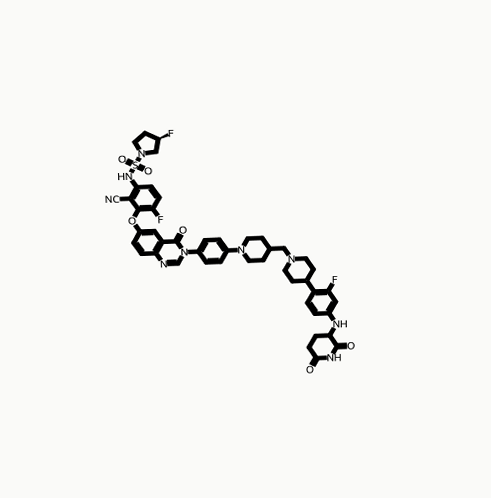 N#Cc1c(NS(=O)(=O)N2CC[C@@H](F)C2)ccc(F)c1Oc1ccc2ncn(-c3ccc(N4CCC(CN5CCC(c6ccc(NC7CCC(=O)NC7=O)cc6F)CC5)CC4)cc3)c(=O)c2c1